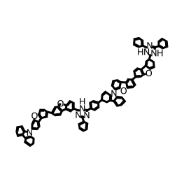 C1=Cc2c(n(-c3ccc4c(c3)oc3ccc(-c5ccc6c(c5)oc5ccc(C7N=C(c8ccccc8)N=C(c8ccc(C9C=Cc%10c(c%11ccccc%11n%10-c%10cccc%11c%10oc%10ccc(-c%12ccc%13c%14c(oc%13c%12)=CCC(C%12NC(c%13ccccc%13)=NC(c%13ccccc%13)N%12)C=%14)cc%10%11)C9)cc8)N7)cc56)cc34)c3ccccc23)CC1